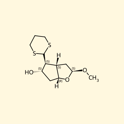 CO[C@@H]1C[C@H]2[C@H](C3SCCCS3)[C@@H](O)C[C@H]2O1